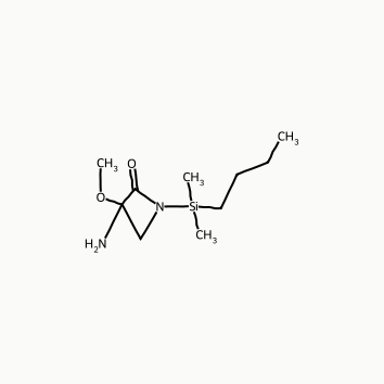 CCCC[Si](C)(C)N1CC(N)(OC)C1=O